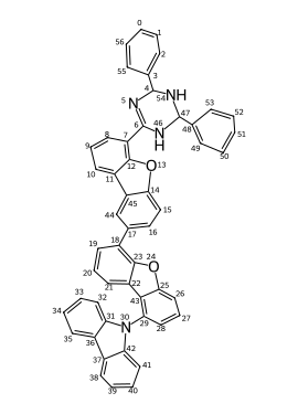 c1ccc(C2N=C(c3cccc4c3oc3ccc(-c5cccc6c5oc5cccc(-n7c8ccccc8c8ccccc87)c56)cc34)NC(c3ccccc3)N2)cc1